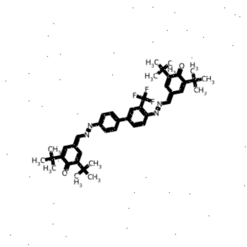 CC(C)(C)C1=CC(=C/N=N/c2ccc(-c3ccc(/N=N/C=C4C=C(C(C)(C)C)C(=O)C(C(C)(C)C)=C4)c(C(F)(F)F)c3)cc2)C=C(C(C)(C)C)C1=O